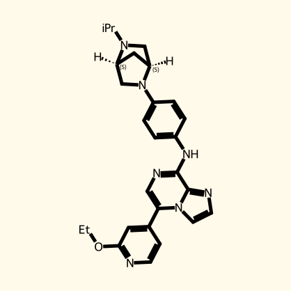 CCOc1cc(-c2cnc(Nc3ccc(N4C[C@@H]5C[C@H]4CN5C(C)C)cc3)c3nccn23)ccn1